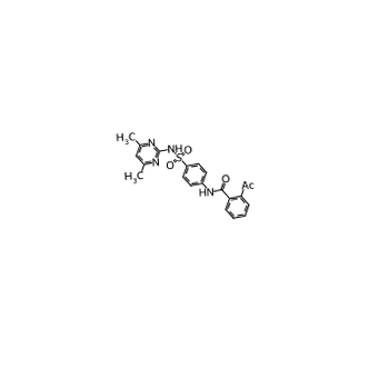 CC(=O)c1ccccc1C(=O)Nc1ccc(S(=O)(=O)Nc2nc(C)cc(C)n2)cc1